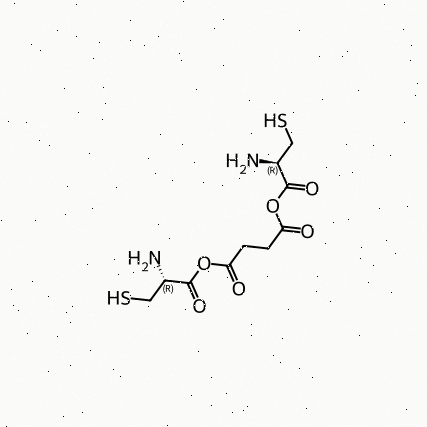 N[C@@H](CS)C(=O)OC(=O)CCC(=O)OC(=O)[C@@H](N)CS